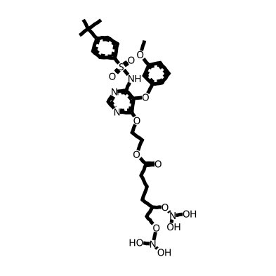 COc1cccc(Oc2c(NS(=O)(=O)c3ccc(C(C)(C)C)cc3)ncnc2OCCOC(=O)CCCC(CON(O)O)ON(O)O)c1